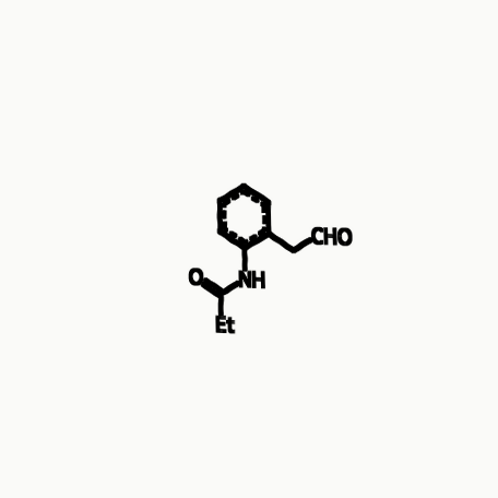 CCC(=O)Nc1ccccc1CC=O